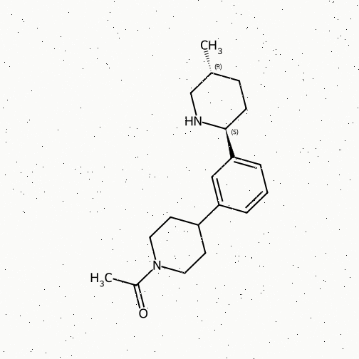 CC(=O)N1CCC(c2cccc([C@@H]3CC[C@@H](C)CN3)c2)CC1